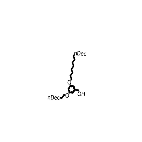 CCCCCCCCCCCCCCCCCCOc1cc(CO)cc(OCCCCCCCCCCCC)c1